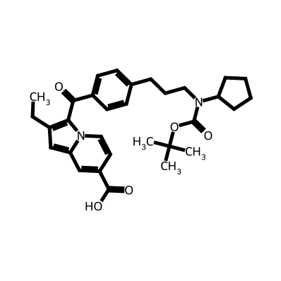 CCc1cc2cc(C(=O)O)ccn2c1C(=O)c1ccc(CCCN(C(=O)OC(C)(C)C)C2CCCC2)cc1